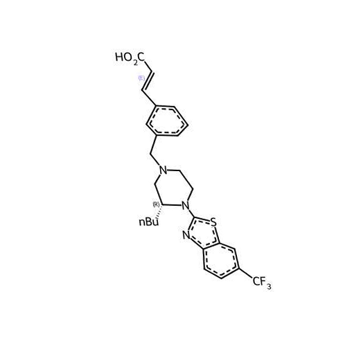 CCCC[C@@H]1CN(Cc2cccc(/C=C/C(=O)O)c2)CCN1c1nc2ccc(C(F)(F)F)cc2s1